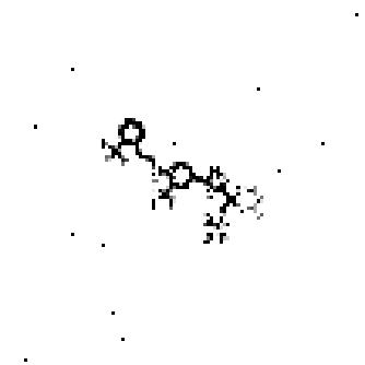 C[C@](N)(COP(=O)(O)O)c1nnc(-c2ccc(OCCc3ccccc3C(F)(F)F)c(C(F)(F)F)c2)s1